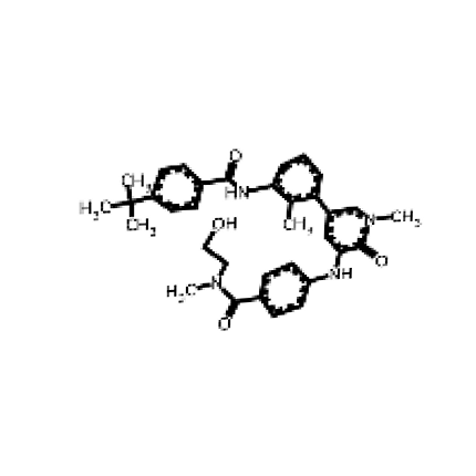 Cc1c(NC(=O)c2ccc(C(C)(C)C)cc2)cccc1-c1cc(Nc2ccc(C(=O)N(C)CCO)cc2)c(=O)n(C)c1